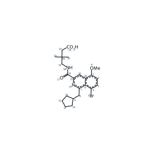 COc1ccc(Br)c2c(CC3CCCC3)nc(C(=O)NCC(C)(C)CC(=O)O)cc12